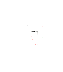 OC[C@H]1O[C@@H](O)[C@H](F)[C@@H]1O